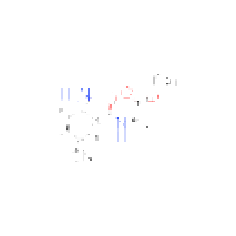 C[C@@H](NC(=O)c1cc(C#N)ccc1N)C(=O)OC(C)(C)C